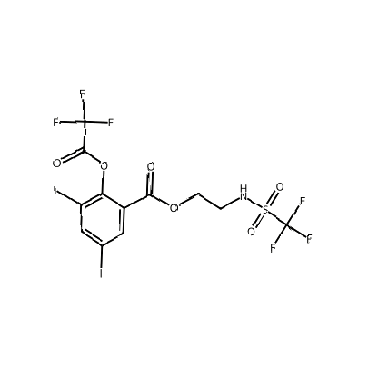 O=C(OCCNS(=O)(=O)C(F)(F)F)c1cc(I)cc(I)c1OC(=O)C(F)(F)F